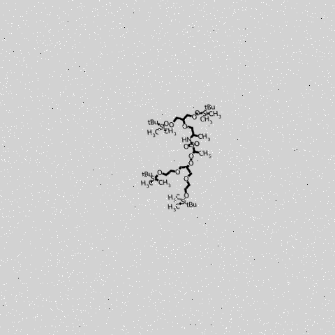 CC(COC(COO[Si](C)(C)C(C)(C)C)COO[Si](C)(C)C(C)(C)C)NS(=O)(=O)C(C)OOC(COCCO[Si](C)(C)C(C)(C)C)COCCO[Si](C)(C)C(C)(C)C